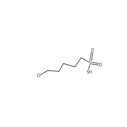 O=S(=O)(S)CCCCCCl